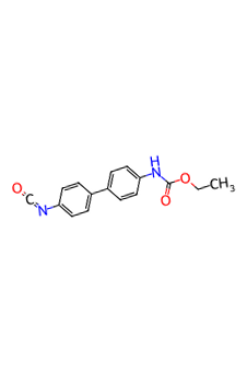 CCOC(=O)Nc1ccc(-c2ccc(N=C=O)cc2)cc1